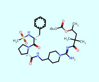 CC(C)COC(=O)OC(C)CC(C)(C)C(=O)N=C(N)N1CCC(CNC(=O)[C@@H]2CCCN2C(=O)[C@@H](Cc2ccccc2)NS(C)(=O)=O)CC1